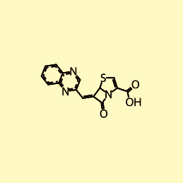 O=C(O)C1=CSC2/C(=C\c3cnc4ccccc4n3)C(=O)N12